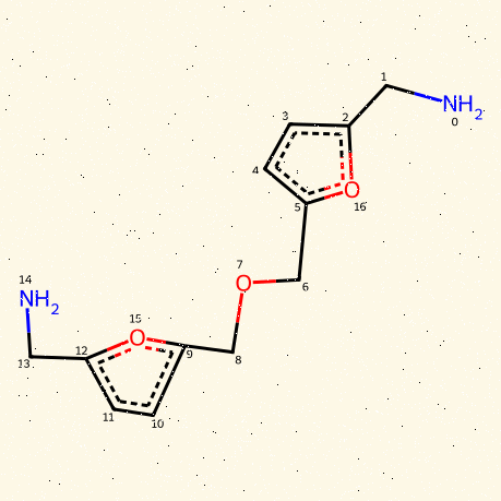 NCc1ccc(COCc2ccc(CN)o2)o1